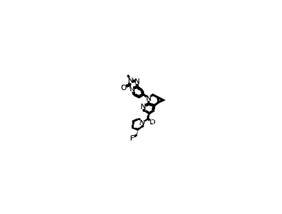 Cn1nc2cc(N3CC4CC4c4cc(C(=O)N5CCC[C@@H](CF)C5)cnc43)ccn2c1=O